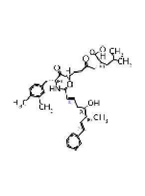 Cc1ccc(C[C@@H](NC(=O)/C=C/C[C@H](O)[C@H](C)/C=C/c2ccccc2)C(=O)NCCC(=O)C[C@@H](CC(C)C)C(=O)O)cc1C